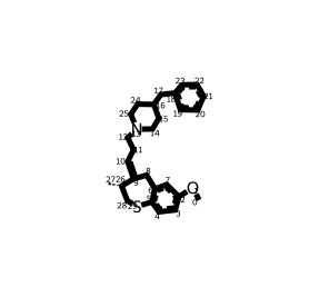 COc1ccc2c(c1)C/C(=C\CCN1CCC(Cc3ccccc3)CC1)[C@@H](C)CS2